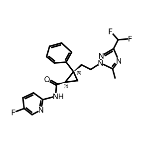 Cc1nc(C(F)F)nn1CC[C@@]1(c2ccccc2)C[C@H]1C(=O)Nc1ccc(F)cn1